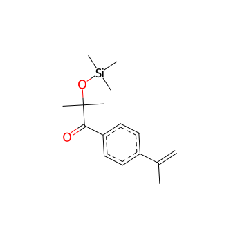 C=C(C)c1ccc(C(=O)C(C)(C)O[Si](C)(C)C)cc1